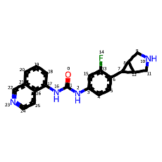 O=C(Nc1ccc(C2C3CNCC32)c(F)c1)Nc1cccc2cnccc12